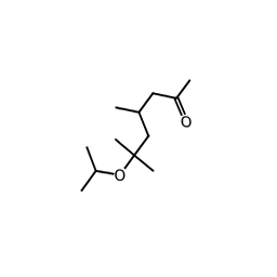 CC(=O)CC(C)CC(C)(C)OC(C)C